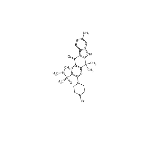 C=S(=O)(c1cc2c(cc1N1CCN(C(C)C)CC1)C(C)(C)c1[nH]c3cc(N)ccc3c1C2=O)N(C)C